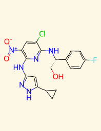 O=[N+]([O-])c1cc(Cl)c(N[C@@H](CO)c2ccc(F)cc2)nc1Nc1cc(C2CC2)[nH]n1